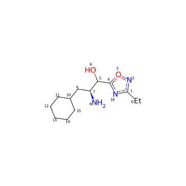 CCc1noc(C(O)[C@@H](N)CC2CCCCC2)n1